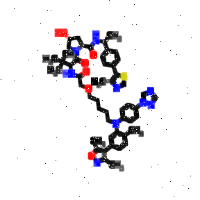 Cc1ccc(-c2c(C)noc2C)cc1N(CCCCCOCC(=O)NC(C(=O)N1C[C@H](O)C[C@H]1C(=O)NC(C)c1ccc(-c2scnc2C)cc1)C(C)(C)C)c1ccc(-n2cncn2)cc1